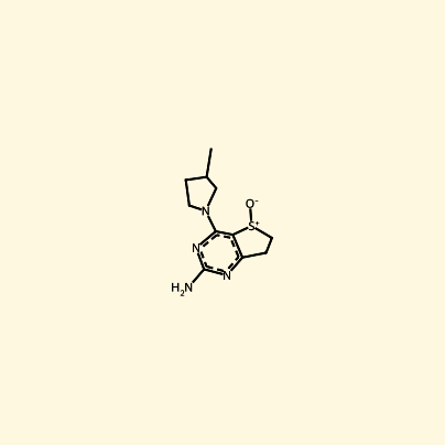 CC1CCN(c2nc(N)nc3c2[S+]([O-])CC3)C1